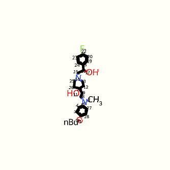 CCCCOc1ccc(N(C)CCC2(O)CCN(CC(O)c3ccc(F)cc3)CC2)cc1